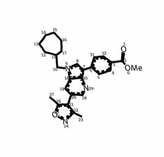 COC(=O)c1ccc(-c2cn(CC3CCCCCC3)c3cc(-c4c(C)noc4C)cnc23)cc1